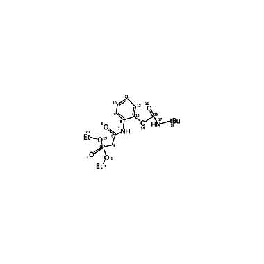 CCOP(=O)(CC(=O)Nc1ccccc1OC(=O)NC(C)(C)C)OCC